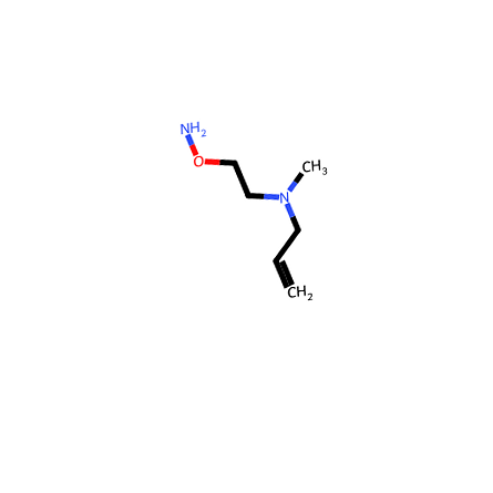 C=CCN(C)CCON